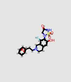 O=C1CN(c2c(O)cc3c(c2F)CN(CCc2cc4ccc2o4)CC3)S(=O)(=O)N1